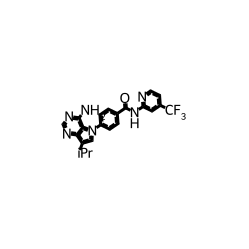 CC(C)c1cn(-c2ccc(C(=O)Nc3cc(C(F)(F)F)ccn3)cc2)c2c(N)ncnc12